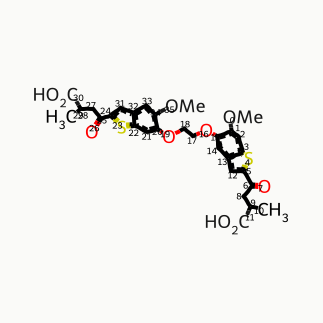 COc1cc2sc(C(=O)CC(C)C(=O)O)cc2cc1OCCOc1cc2sc(C(=O)CC(C)C(=O)O)cc2cc1OC